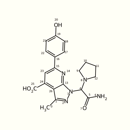 Cc1nn(C(C(N)=O)N2CCCC2)c2nc(-c3ccc(O)cc3)cc(C(=O)O)c12